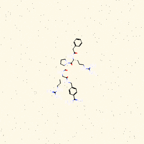 N=C(N)NCCC[C@H](NC(=O)[C@@H]1CCCN1C(=O)[C@H](CCCNC(=N)N)NC(=O)Cc1ccccc1)C(=O)NCc1ccc(C(=N)N)cc1